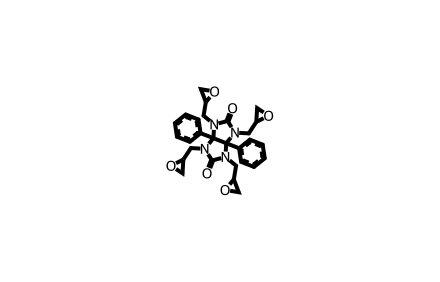 O=C1N(CC2CO2)C2(c3ccccc3)N(CC3CO3)C(=O)N(CC3CO3)C2(c2ccccc2)N1CC1CO1